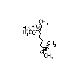 CO[SiH](CCCC[Si](OC)(OC)OC)OC